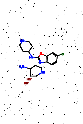 Br.Br.Clc1ccc2nc(NC3CCNCC3)oc2c1.NC1CCNCC1